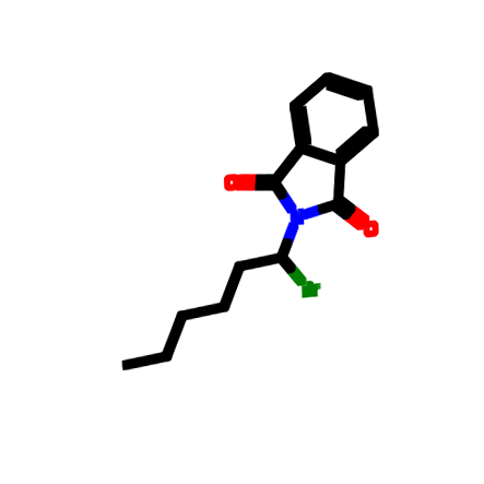 CCCCCC(Br)N1C(=O)c2ccccc2C1=O